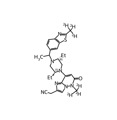 [2H]C([2H])([2H])c1nc2ccc(C(C)N3C[C@H](CC)N(c4cc(=O)n(C([2H])([2H])[2H])n5cc(CC#N)nc45)C[C@H]3CC)cc2s1